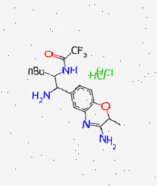 CCCCC(NC(=O)C(F)(F)F)C(N)c1ccc2c(c1)N=C(N)C(C)O2.Cl.Cl